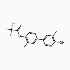 CCC(C)(C)C(=O)Oc1ccc(-c2ccc(O)c(C)c2)cc1C